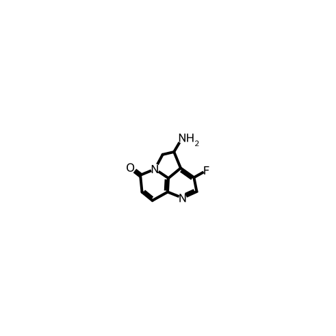 NC1Cn2c(=O)ccc3ncc(F)c1c32